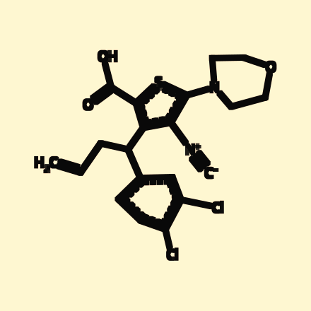 [C-]#[N+]c1c(N2CCOCC2)sc(C(=O)O)c1C(CC=C)c1ccc(Cl)c(Cl)c1